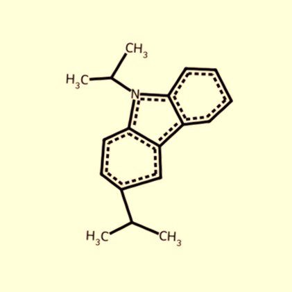 CC(C)c1ccc2c(c1)c1ccccc1n2C(C)C